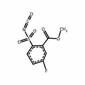 COC(=O)c1cc(F)ccc1S(=O)(=O)N=C=O